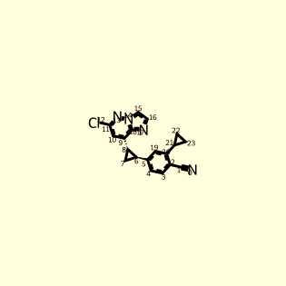 N#Cc1ccc([C@H]2C[C@@H]2c2cc(Cl)nn3ccnc23)cc1C1CC1